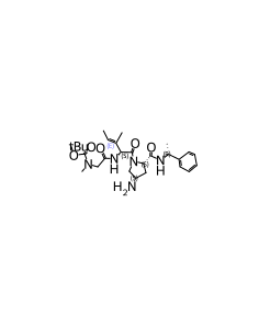 C/C=C(\C)[C@H](NC(=O)CN(C)C(=O)OC(C)(C)C)C(=O)N1C[C@@H](N)C[C@H]1C(=O)N[C@H](C)c1ccccc1